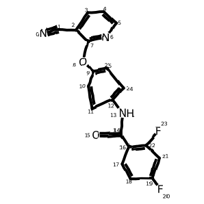 N#Cc1cccnc1Oc1ccc(NC(=O)c2ccc(F)cc2F)cc1